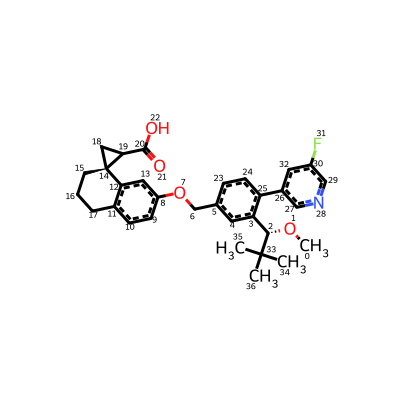 CO[C@@H](c1cc(COc2ccc3c(c2)[C@]2(CCC3)CC2C(=O)O)ccc1-c1cncc(F)c1)C(C)(C)C